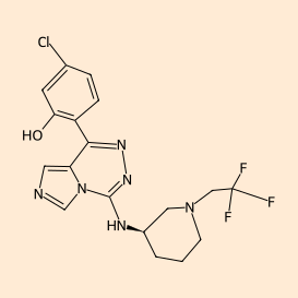 Oc1cc(Cl)ccc1-c1nnc(N[C@@H]2CCCN(CC(F)(F)F)C2)n2cncc12